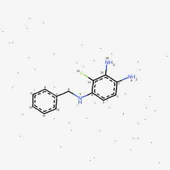 Nc1ccc(NCc2ccccc2)c(F)c1N